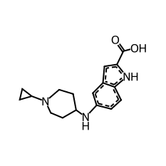 O=C(O)c1cc2cc(NC3CCN(C4CC4)CC3)ccc2[nH]1